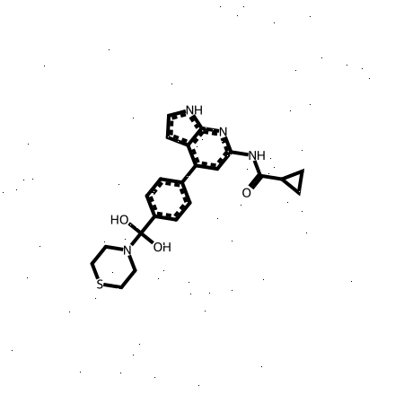 O=C(Nc1cc(-c2ccc(C(O)(O)N3CCSCC3)cc2)c2cc[nH]c2n1)C1CC1